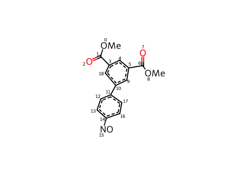 COC(=O)c1cc(C(=O)OC)cc(-c2ccc(N=O)cc2)c1